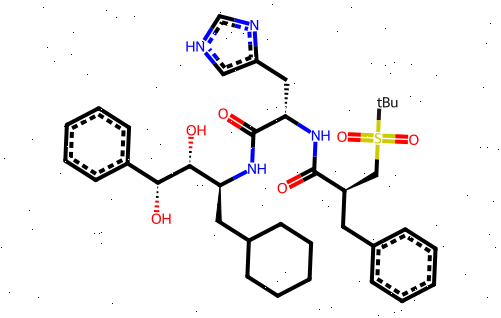 CC(C)(C)S(=O)(=O)C[C@@H](Cc1ccccc1)C(=O)N[C@@H](Cc1c[nH]cn1)C(=O)N[C@@H](CC1CCCCC1)[C@@H](O)[C@H](O)c1ccccc1